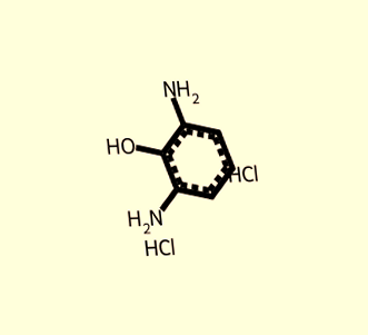 Cl.Cl.Nc1cccc(N)c1O